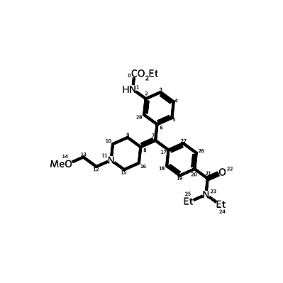 CCOC(=O)Nc1cccc(C(=C2CCN(CCOC)CC2)c2ccc(C(=O)N(CC)CC)cc2)c1